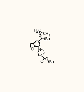 C[SiH](C)OC(c1cc(N2CCN(C(=O)OC(C)(C)C)CC2)c2occc2c1)C(C)(C)C